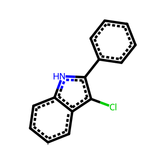 Clc1c(-c2ccccc2)[nH]c2cc[c]cc12